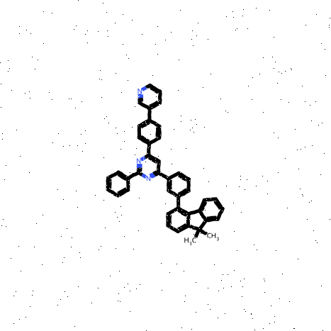 CC1(C)c2ccccc2-c2c(-c3cccc(-c4cc(-c5ccc(-c6cccnc6)cc5)nc(-c5ccccc5)n4)c3)cccc21